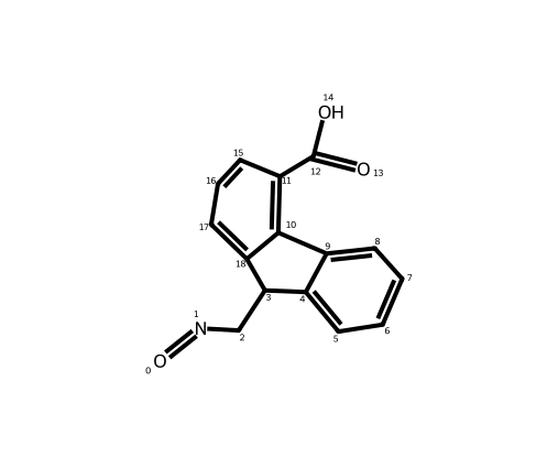 O=NCC1c2ccccc2-c2c(C(=O)O)cccc21